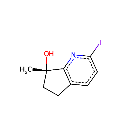 C[C@]1(O)CCc2ccc(I)nc21